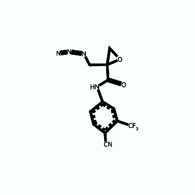 N#Cc1ccc(NC(=O)C2(CN=[N+]=[N-])CO2)cc1C(F)(F)F